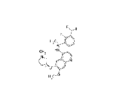 COc1cc2nccc(N[C@H](C)c3cccc(C(F)F)c3F)c2cc1O[C@H]1CCN(C)C1